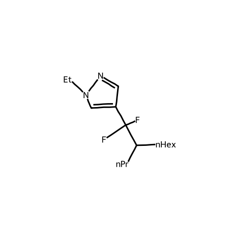 CCCCCCC(CCC)C(F)(F)c1cnn(CC)c1